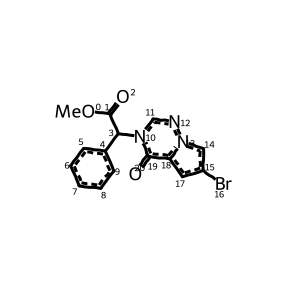 COC(=O)C(c1ccccc1)n1cnn2cc(Br)cc2c1=O